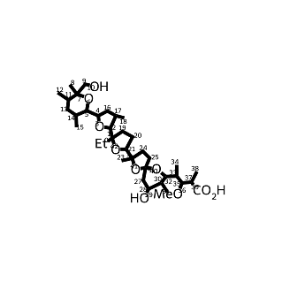 CCC1(C2OC(C3OC(C)(CO)C(C)CC3C)CC2C)CCC(C2(C)CCC3(CC(O)C(C)C(C(C)C(OC)C(C)C(=O)O)O3)O2)O1